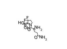 NC(=O)CC[C@H](N)C(=O)N1CCC(F)(F)[C@@H]1B(O)O